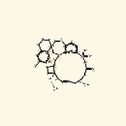 CO[C@H]1/C=C/C[C@@H](C)CC(=O)NS(=O)(=O)c2ccc3c(c2)N(C[C@@H]2CC[C@H]21)C[C@@]1(CCCc2cc(Cl)ccc21)CO3